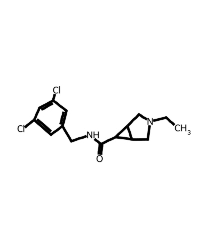 CCN1CC2C(C1)C2C(=O)NCc1cc(Cl)cc(Cl)c1